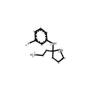 NCCC1(Nc2cccc(F)c2)CCCN1